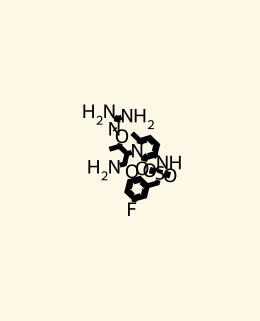 Cc1ccc(NS(=O)(=O)Cc2cccc(F)c2)c(=O)n1C(C(N)=O)C(C)ON=C(N)N